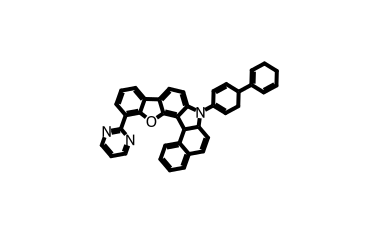 C1=CC(C2C=CC(N3c4ccc5c(oc6c(-c7ncccn7)cccc65)c4C4c5ccccc5C=CC43)=CC2)=CCC1